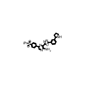 CC(C)S(=O)(=O)c1ccc(-c2cnc(N)c(-c3nnc(-c4cccc(C5CCCN5)c4)o3)n2)cc1